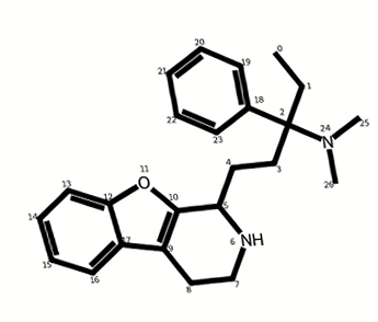 CCC(CCC1NCCc2c1oc1ccccc21)(c1ccccc1)N(C)C